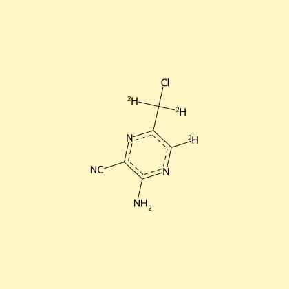 [2H]c1nc(N)c(C#N)nc1C([2H])([2H])Cl